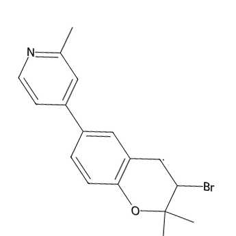 Cc1cc(-c2ccc3c(c2)[CH]C(Br)C(C)(C)O3)ccn1